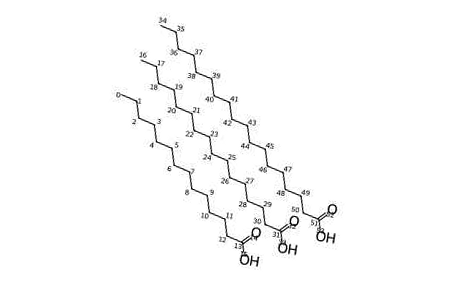 CCCCCCCCCCCCCC(=O)O.CCCCCCCCCCCCCCCC(=O)O.CCCCCCCCCCCCCCCCCC(=O)O